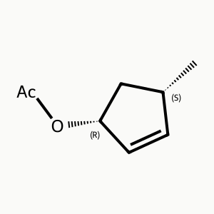 CC(=O)O[C@H]1C=C[C@@H](C)C1